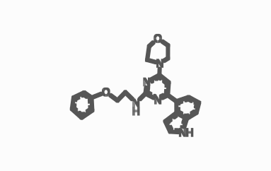 c1ccc(OCCNc2nc(-c3cccc4[nH]ccc34)cc(N3CCOCC3)n2)cc1